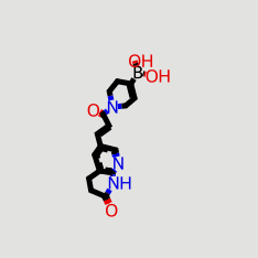 O=C1CCc2cc(/C=C/C(=O)N3CC=C(B(O)O)CC3)cnc2N1